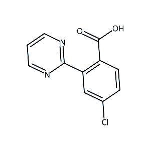 O=C(O)c1ccc(Cl)cc1-c1ncccn1